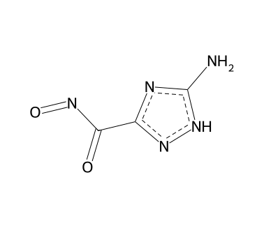 Nc1nc(C(=O)N=O)n[nH]1